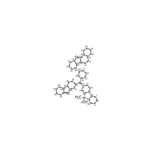 CC1(C)c2ccccc2-c2ccc(N(c3cccc(-c4cccc5oc6c7ccccc7ccc6c45)c3)c3ccc4c(c3)oc3ccccc34)cc21